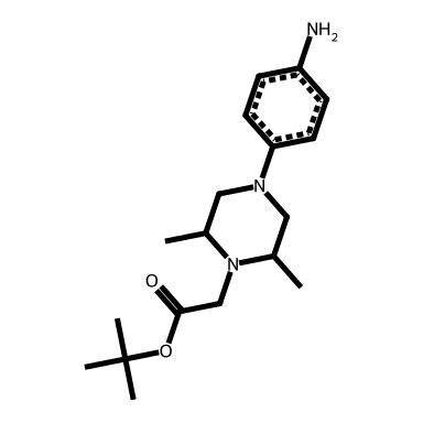 CC1CN(c2ccc(N)cc2)CC(C)N1CC(=O)OC(C)(C)C